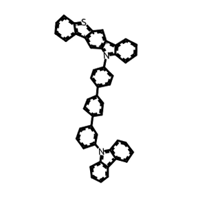 c1cc(-c2ccc(-c3ccc(-n4c5ccccc5c5cc6sc7ccccc7c6cc54)cc3)cc2)cc(-n2c3ccccc3c3ccccc32)c1